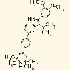 COc1ccc(-c2[nH]c3ccc(-c4ccc(C5=CC(C)(C)NC(C)(C)C5)cc4)cc3c2C(C)C)cc1OC